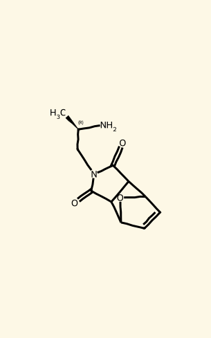 C[C@@H](N)CN1C(=O)C2C3C=CC(O3)C2C1=O